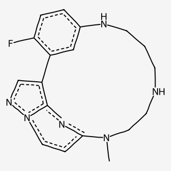 CN1CCNCCCNc2ccc(F)c(c2)-c2cnn3ccc1nc23